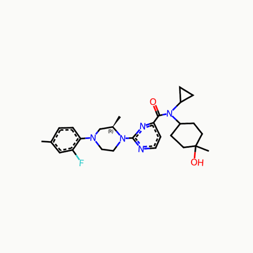 Cc1ccc(N2CCN(c3nccc(C(=O)N(C4CC4)C4CCC(C)(O)CC4)n3)[C@H](C)C2)c(F)c1